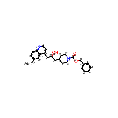 COc1ccc2nccc(C[C@@H](O)CC3CCN(C(=O)OCc4ccccc4)CC3)c2c1